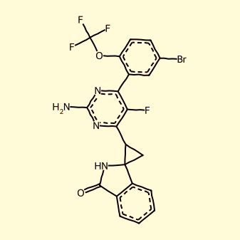 Nc1nc(-c2cc(Br)ccc2OC(F)(F)F)c(F)c(C2CC23NC(=O)c2ccccc23)n1